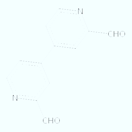 O=Cc1cc(-c2ccnc(C=O)c2)ccn1